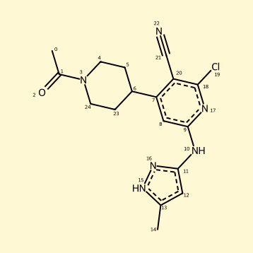 CC(=O)N1CCC(c2cc(Nc3cc(C)[nH]n3)nc(Cl)c2C#N)CC1